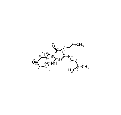 CCCCN(C(=O)NCCN(C)C)C(=O)[C@H]1CN[C@@H]2CCC(=O)C[C@H]2C1